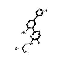 CC[C@@H](N)CNc1nc(-c2cc(-c3cn[nH]c3)ccc2O)ncc1F